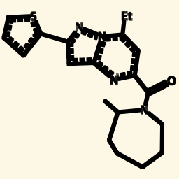 CCc1cc(C(=O)N2CCCCCC2C)nc2cc(-c3cccs3)nn12